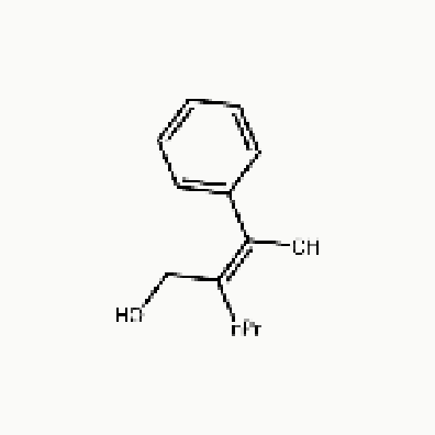 CCCC(CO)=C(O)c1ccccc1